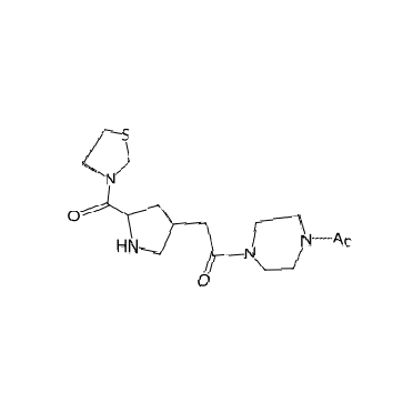 CC(=O)N1CCN(C(=O)CC2CNC(C(=O)N3CCSC3)C2)CC1